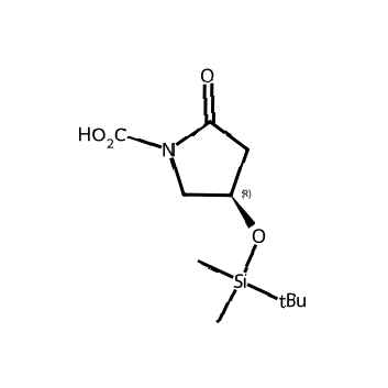 CC(C)(C)[Si](C)(C)O[C@@H]1CC(=O)N(C(=O)O)C1